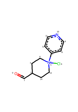 O=CC1CC[N+](Cl)(c2ccncc2)CC1